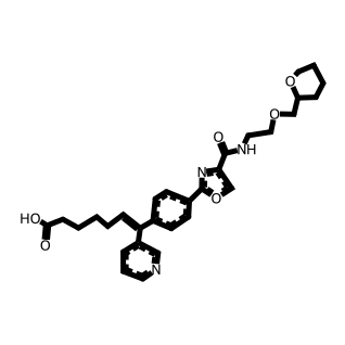 O=C(O)CCCCC=C(c1ccc(-c2nc(C(=O)NCCOCC3CCCCO3)co2)cc1)c1cccnc1